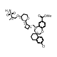 COC(=O)c1ccc2c(c1)N(C[C@@H]1CC[C@H]1[C@H]1C[C@@H](OC[C@@H](C)S(N)(=O)=O)CCO1)C[C@@]1(CCCc3cc(Cl)ccc31)CO2